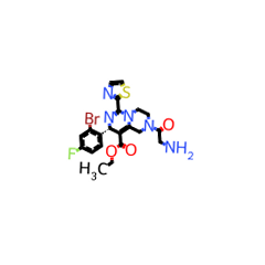 CCOC(=O)C1=C2CN(C(=O)CN)CCN2C(c2nccs2)=N[C@H]1c1ccc(F)cc1Br